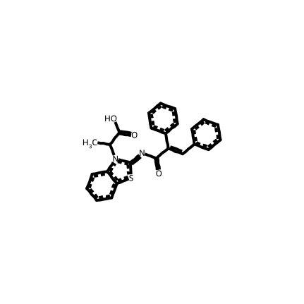 CC(C(=O)O)n1c(=NC(=O)C(=Cc2ccccc2)c2ccccc2)sc2ccccc21